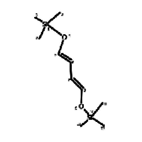 C[Si](C)(C)OC=CC=CO[Si](C)(C)C